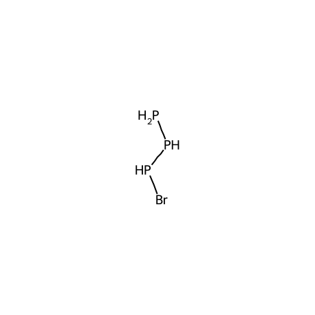 PPPBr